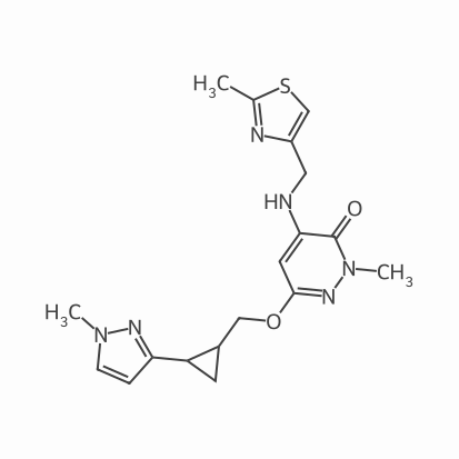 Cc1nc(CNc2cc(OCC3CC3c3ccn(C)n3)nn(C)c2=O)cs1